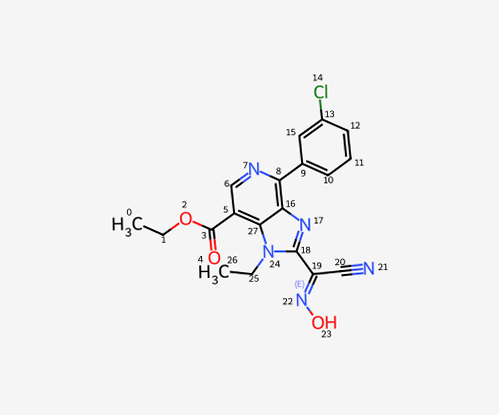 CCOC(=O)c1cnc(-c2cccc(Cl)c2)c2nc(/C(C#N)=N/O)n(CC)c12